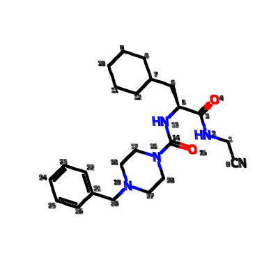 N#CCNC(=O)[C@H](CC1CCCCC1)NC(=O)N1CCN(Cc2ccccc2)CC1